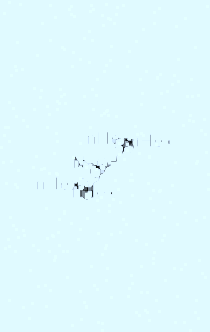 CCCCCCC(CCCCCC)OC(=O)CCCCCC(CCCCCC(=O)OC(CCCCCC)CCCCCC)OC(=O)CCCN(C)C